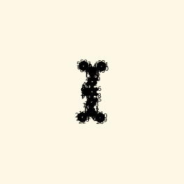 Cc1cc(-c2c(C)c(C)c(-c3cc(C)c(-c4nc(-c5ccccc5)nc(-c5ccccc5)n4)cc3C)c3nsnc23)c(C)cc1-c1nc(-c2ccccc2)nc(-c2ccccc2)n1